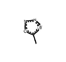 Cc1nnno1